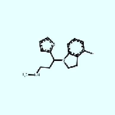 CNCCC(c1cccs1)N1CCc2c(F)cccc21